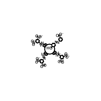 O=[N+]([O-])c1cccc(/N=N/C2=CC3CC4C=C(/N=N/c5cc([N+](=O)[O-])cc([N+](=O)[O-])c5)C=C(CC5C=C(/N=N/c6cc([N+](=O)[O-])cc([N+](=O)[O-])c6)C=C(CC6C=C(/N=N/c7cc([N+](=O)[O-])cc([N+](=O)[O-])c7)C=C(CC(=C2)C3O)C6O)C5O)C4O)c1